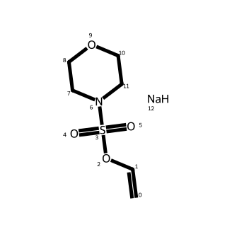 C=COS(=O)(=O)N1CCOCC1.[NaH]